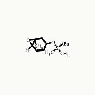 CC(C)(C)[Si](C)(C)OC1C=C[C@@H]2O[C@]2(C)C1